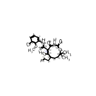 COc1c(Cl)cccc1NC(=S)/C1=C(\O)C(CCF)CCC(C)(C)OC(=O)NC1=O